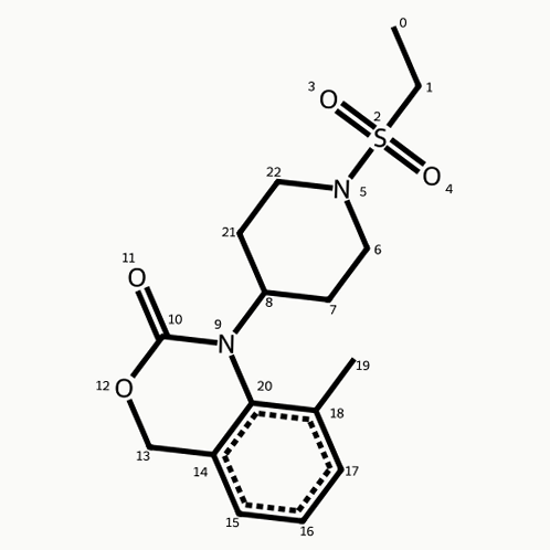 CCS(=O)(=O)N1CCC(N2C(=O)OCc3cccc(C)c32)CC1